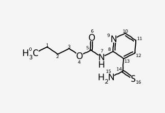 CCCCOC(=O)Nc1ncccc1C(N)=S